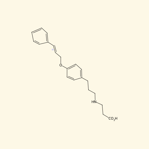 O=C(O)CCNCCCc1ccc(OC/C=C/c2ccccc2)cc1